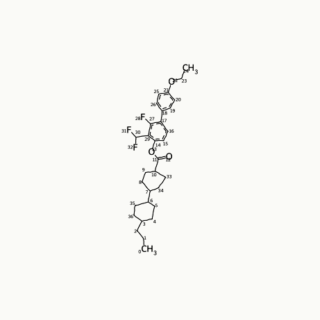 CCCC1CCC(C2CCC(C(=O)Oc3ccc(-c4ccc(OCC)cc4)c(F)c3C(F)F)CC2)CC1